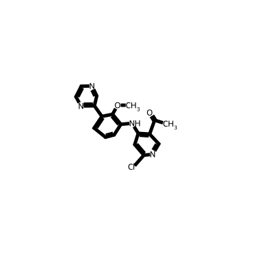 COc1c(Nc2cc(Cl)ncc2C(C)=O)cccc1-c1cnccn1